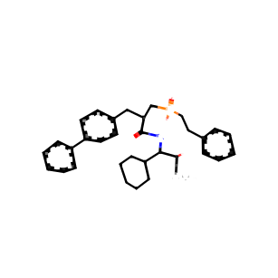 COC(O)C(NC(=O)C(Cc1ccc(-c2ccccc2)cc1)CP(=O)(O)CCc1ccccc1)C1CCCCC1